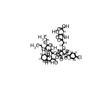 CCC[C@H](N[C@@H](C)C(=O)N1C(C(=O)O)C[C@@H]2CCCC[C@@H]21)C(=O)OCC.O=C(O)C[C@H](NC(=O)CCOc1no[n+]([O-])c1S(=O)(=O)c1ccc(Cl)cc1)C(=O)O